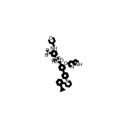 O=C(NS(=O)(=O)c1ccc(NCC2CCOCC2)c([N+](=O)[O-])c1)c1ccc(-c2ccc(N3CCCCC3c3ccccc3C3CC3)cc2)cc1Oc1cnc2[nH]ccc2c1